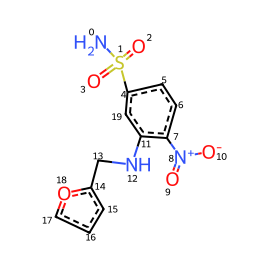 NS(=O)(=O)c1ccc([N+](=O)[O-])c(NCc2ccco2)c1